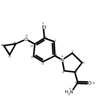 CCc1cc(N2CCC(C(N)=O)C2)ccc1OC1CC1